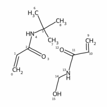 C=CC(=O)NC(C)(C)C.C=CC(=O)NCO